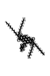 CCCCCCCCCCCCC(CCCCCCCCCCCC)CN1C(=O)c2ccc3c4c(-c5cc6sc7cc(C)sc7c6s5)cc5c6c(ccc(c7c(C)cc(c2c37)C1=O)c64)C(=O)N(CC(CCCCCCCCCC)CCCCCCCCCC)C5=O